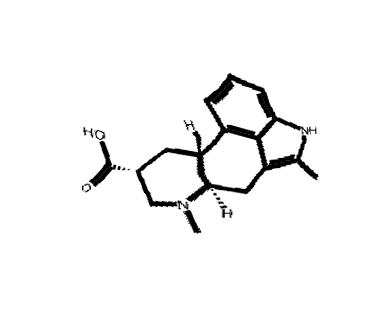 Cc1[nH]c2cccc3c2c1C[C@@H]1[C@@H]3C[C@@H](C(=O)O)CN1C